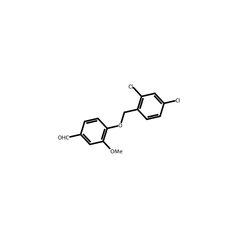 COc1cc(C=O)ccc1OCc1ccc(Cl)cc1Cl